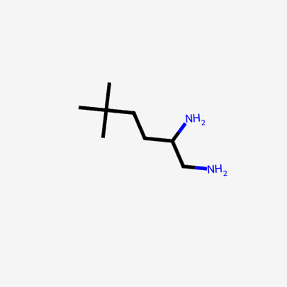 CC(C)(C)CCC(N)CN